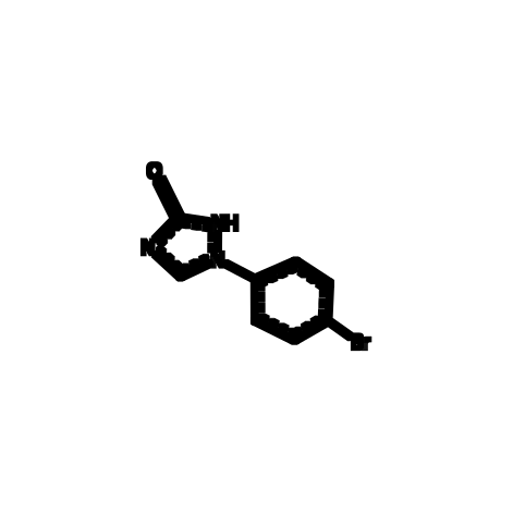 O=c1ncn(-c2ccc(Br)cc2)[nH]1